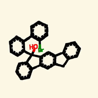 OC1(c2ccccc2-c2ccccc2Br)c2ccccc2-c2cc3c(cc21)-c1ccccc1C3